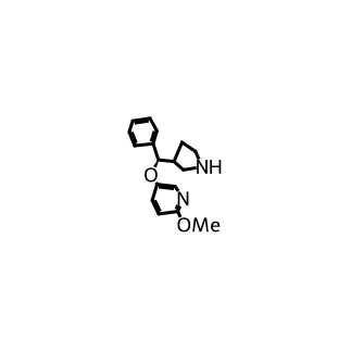 COc1ccc(O[C@@H](c2ccccc2)C2CCNC2)cn1